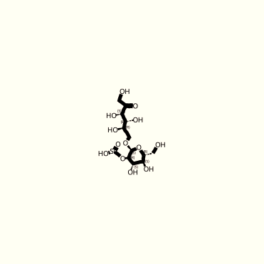 O=C(CO)[C@@H](O)[C@H](O)[C@H](O)CO[C@H]1O[C@H](CO)[C@@H](O)[C@H](O)[C@H]1O[Si](=O)O